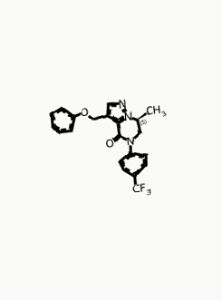 C[C@H]1CN(c2ccc(C(F)(F)F)cc2)C(=O)c2c(COc3ccccc3)cnn21